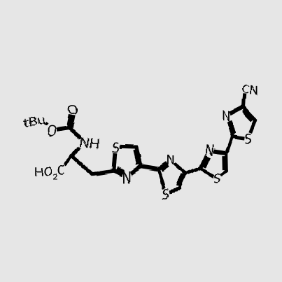 CC(C)(C)OC(=O)NC(Cc1nc(-c2nc(-c3nc(-c4nc(C#N)cs4)cs3)cs2)cs1)C(=O)O